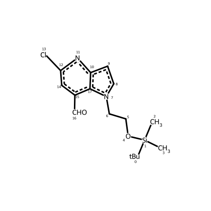 CC(C)(C)[Si](C)(C)OCCn1ccc2nc(Cl)cc(C=O)c21